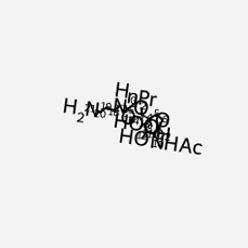 CCCC(OC[C@@]12CO[C@@H](O1)[C@H](NC(C)=O)[C@@H](O)[C@H]2O)C(=O)NCCCN